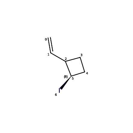 C=CC1CC[C@H]1I